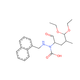 CCOC(OCC)C(C)CC(C=O)N(NCc1cccc2ccccc12)C(=O)O